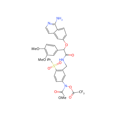 COC(=O)N(OC(=O)C(F)(F)F)c1ccc(S(=O)(=O)C(C)C)c(CNC(=O)C(Oc2ccc3c(N)nccc3c2)c2ccc(OC)c(OC)c2)c1